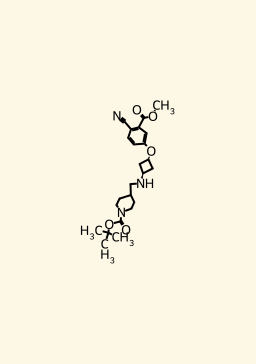 COC(=O)c1cc(O[C@H]2C[C@H](NCC3CCN(C(=O)OC(C)(C)C)CC3)C2)ccc1C#N